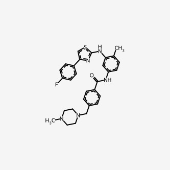 Cc1ccc(NC(=O)c2ccc(CN3CCN(C)CC3)cc2)cc1Nc1nc(-c2ccc(F)cc2)cs1